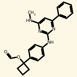 CNc1cc(-c2ccccc2)nc(Nc2ccc(C3(OC=O)CCC3)cc2)n1